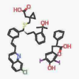 CC(C)(O)c1ccccc1CC[C@@H](SCC1(CC(=O)O)CC1)c1cccc(/C=C/c2ccc3ccc(Cl)cc3n2)c1.O=C(O)C(Cc1cc(I)c(O)c(I)c1)c1ccccc1